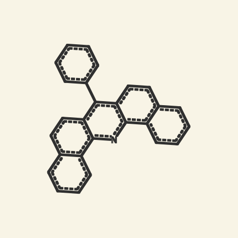 c1ccc(-c2c3ccc4ccccc4c3nc3c2ccc2ccccc23)cc1